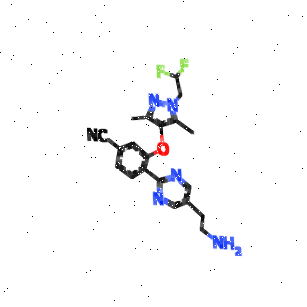 Cc1nn(CC(F)F)c(C)c1Oc1cc(C#N)ccc1-c1ncc(CCN)cn1